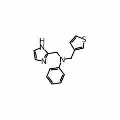 c1ccc(N(Cc2ccsc2)Cc2ncc[nH]2)cc1